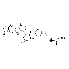 Cc1cc(Cl)cc(-c2ccnc3cc(CN4C(=O)CCC4=O)sc23)c1OC1CCN(CCCNC(=O)OC(C)(C)C)CC1